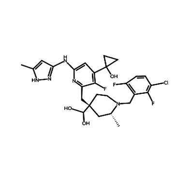 Cc1cc(Nc2cc(C3(O)CC3)c(F)c(C[C@@]3(C(O)O)CCN(Cc4c(F)ccc(Cl)c4F)[C@H](C)C3)n2)n[nH]1